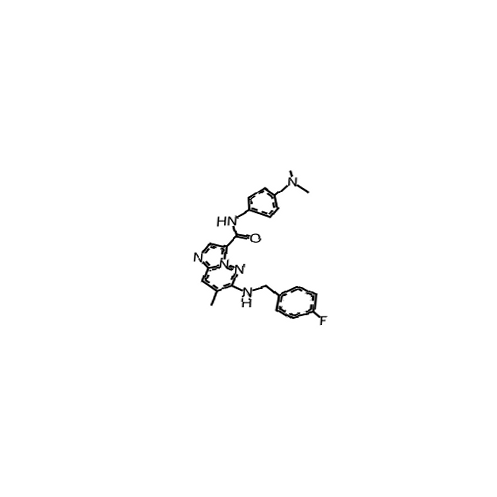 Cc1cc2ncc(C(=O)Nc3ccc(N(C)C)cc3)n2nc1NCc1ccc(F)cc1